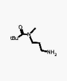 CN(CCCN)C(=O)C(C)(C)C